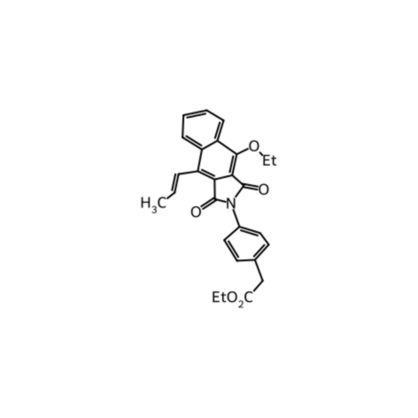 C/C=C/c1c2c(c(OCC)c3ccccc13)C(=O)N(c1ccc(CC(=O)OCC)cc1)C2=O